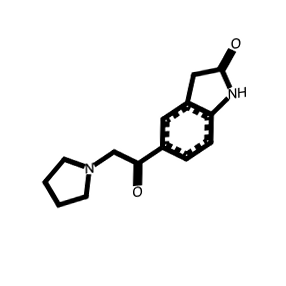 O=C1Cc2cc(C(=O)CN3CCCC3)ccc2N1